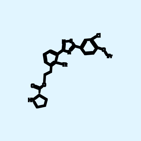 CCc1c(CCOC(=O)[C@@H]2CCCN2)cccc1-c1nsc(-c2ccc(OC(C)C)c(Cl)c2)n1